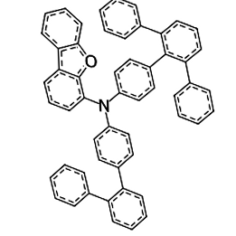 c1ccc(-c2ccccc2-c2ccc(N(c3ccc(-c4c(-c5ccccc5)cccc4-c4ccccc4)cc3)c3cccc4c3oc3ccccc34)cc2)cc1